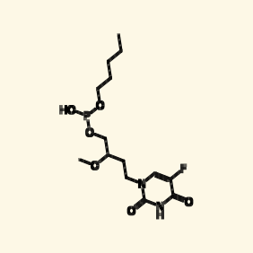 CCCCCOP(O)OCC(CCn1cc(F)c(=O)[nH]c1=O)OC